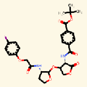 CC(C)(C)OC(=O)c1ccc(C(=O)N[C@@H]2C(=O)OCC2OC2OCC[C@@H]2NC(=O)COc2ccc(I)cc2)cc1